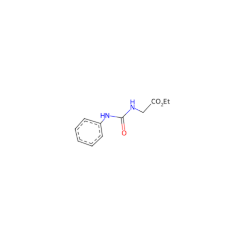 CCOC(=O)CNC(=O)Nc1ccccc1